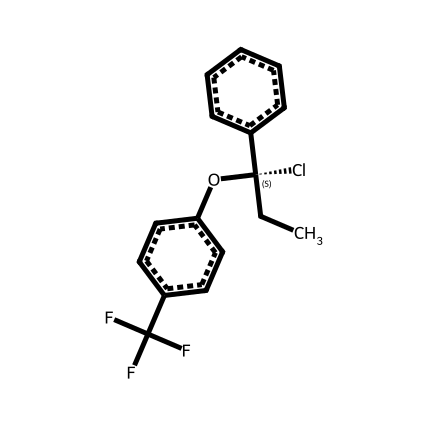 CC[C@@](Cl)(Oc1ccc(C(F)(F)F)cc1)c1ccccc1